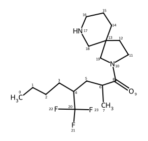 CCCCC(CC(C)C(=O)N1CCC2(CCCNC2)C1)C(F)(F)F